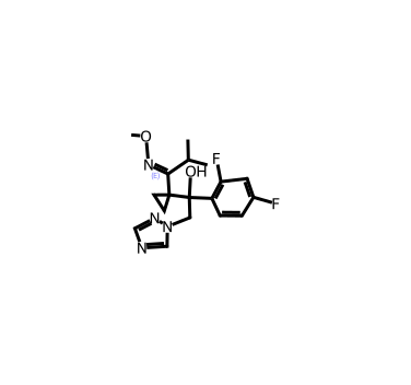 CO/N=C(\C(C)C)C1(C(O)(Cn2cncn2)c2ccc(F)cc2F)CC1